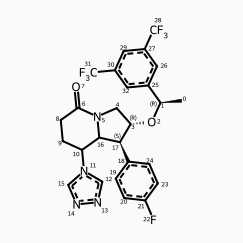 C[C@@H](O[C@H]1CN2C(=O)CCC(n3cnnc3)C2[C@@H]1c1ccc(F)cc1)c1cc(C(F)(F)F)cc(C(F)(F)F)c1